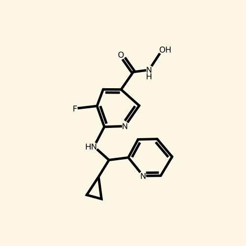 O=C(NO)c1cnc(NC(c2ccccn2)C2CC2)c(F)c1